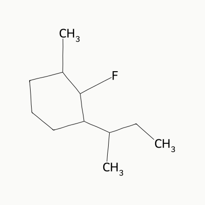 CCC(C)C1CCCC(C)C1F